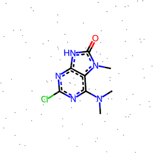 CN(C)c1nc(Cl)nc2[nH]c(=O)n(C)c12